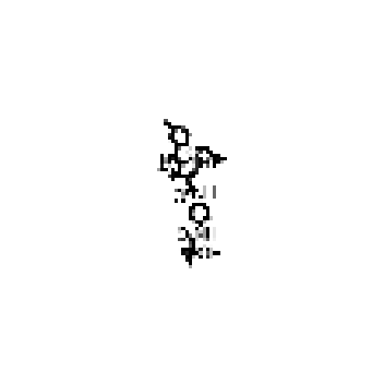 Cc1ccc(OCC2CC2)c(-c2ncnc3c(C(=O)N[C@H]4CC[C@H](NC(=O)C5(O)CC5)CC4)c[nH]c23)c1